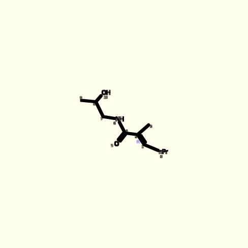 CCC/C=C(\C)C(=O)NCC(C)O